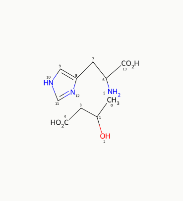 CC(O)CC(=O)O.NC(Cc1c[nH]cn1)C(=O)O